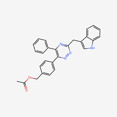 CC(=O)OCc1ccc(-c2nnc(Cc3c[nH]c4ccccc34)nc2-c2ccccc2)cc1